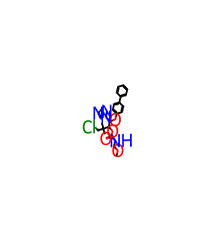 COCNC(=O)OC(C(Oc1ccc(-c2ccccc2)cc1)n1cncn1)C(C)(C)CCl